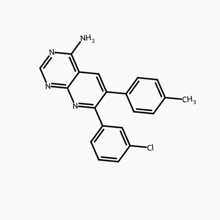 Cc1ccc(-c2cc3c(N)ncnc3nc2-c2cccc(Cl)c2)cc1